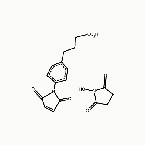 O=C(O)CCCc1ccc(N2C(=O)C=CC2=O)cc1.O=C1CCC(=O)N1O